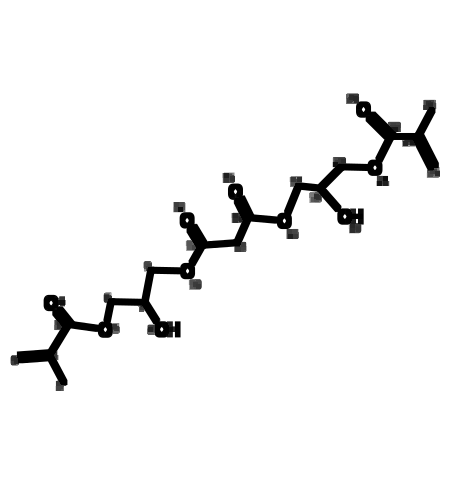 C=C(C)C(=O)OCC(O)COC(=O)CC(=O)OCC(O)COC(=O)C(=C)C